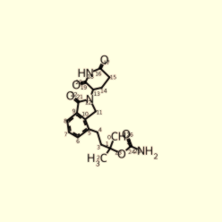 CC(C)(CCc1cccc2c1CN(C1CCC(=O)NC1=O)C2=O)OC(N)=O